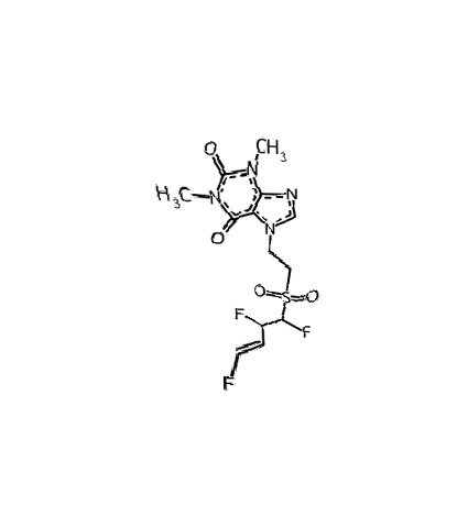 Cn1c(=O)c2c(ncn2CCS(=O)(=O)C(F)C(F)C=CF)n(C)c1=O